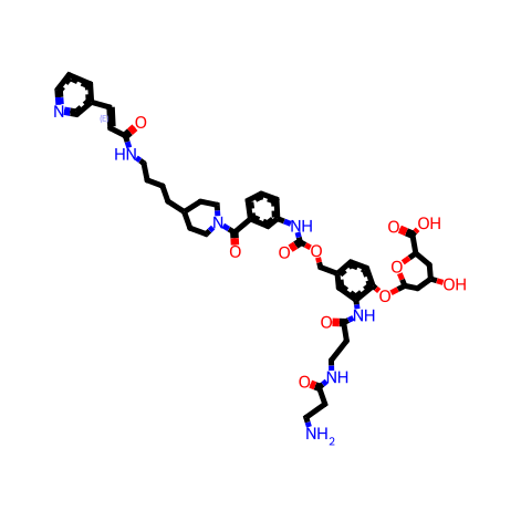 NCCC(=O)NCCC(=O)Nc1cc(COC(=O)Nc2cccc(C(=O)N3CCC(CCCCNC(=O)/C=C/c4cccnc4)CC3)c2)ccc1OC1CC(O)CC(C(=O)O)O1